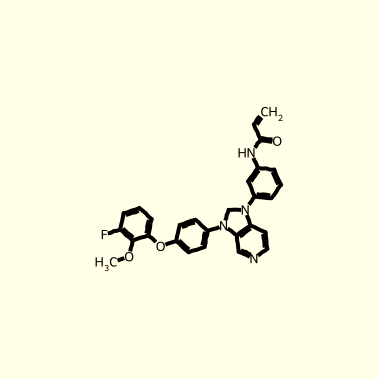 C=CC(=O)Nc1cccc(N2CN(c3ccc(Oc4cccc(F)c4OC)cc3)c3cnccc32)c1